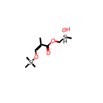 CC(=CO[Si](C)(C)C)C(=O)OC[SiH](C)O